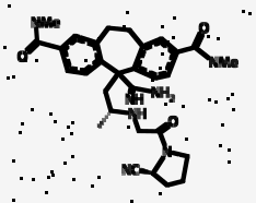 CNC(=O)c1ccc2c(c1)CCc1cc(C(=O)NC)ccc1C2(C[C@@H](C)NCC(=O)N1CCC[C@H]1C#N)C(=N)N